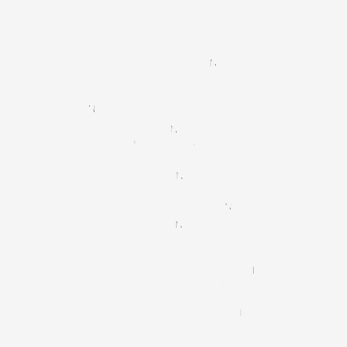 N#C[C@H]1CN(c2ncc(C(F)(F)F)cn2)C(=O)N1c1cncc2ccccc12